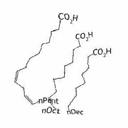 CCCCC/C=C\C/C=C\CCCCCCCC(=O)O.CCCCCCCC/C=C\CCCCCCCC(=O)O.CCCCCCCCCCCCCCCCCC(=O)O